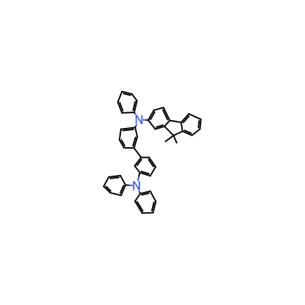 CC1(C)c2ccccc2-c2ccc(N(c3ccccc3)c3cccc(-c4cccc(N(c5ccccc5)c5ccccc5)c4)c3)cc21